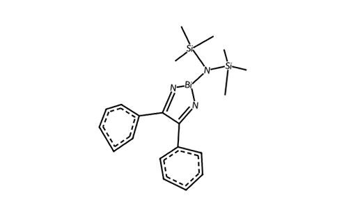 C[Si](C)(C)[N]([Bi]1[N]=C(c2ccccc2)C(c2ccccc2)=[N]1)[Si](C)(C)C